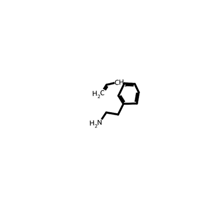 C=CC.NCCc1ccccc1